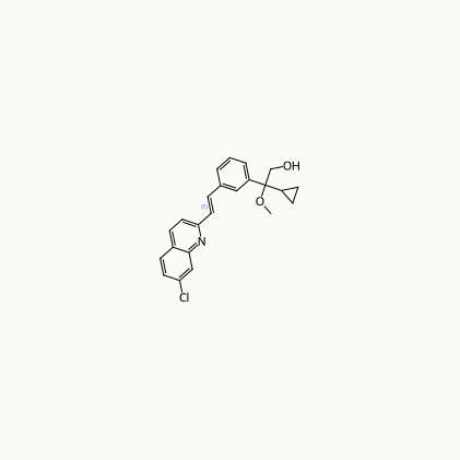 COC(CO)(c1cccc(/C=C/c2ccc3ccc(Cl)cc3n2)c1)C1CC1